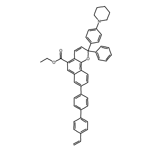 C=Cc1ccc(-c2ccc(-c3ccc4c5c(c(C(=O)OCC)cc4c3)C=CC(c3ccccc3)(c3ccc(N4CCCCC4)cc3)O5)cc2)cc1